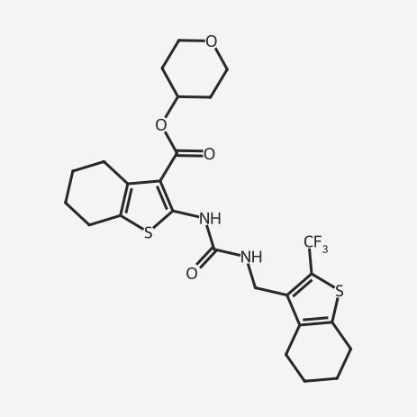 O=C(NCc1c(C(F)(F)F)sc2c1CCCC2)Nc1sc2c(c1C(=O)OC1CCOCC1)CCCC2